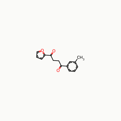 Cc1cccc(C(=O)CCC(=O)c2ccco2)c1